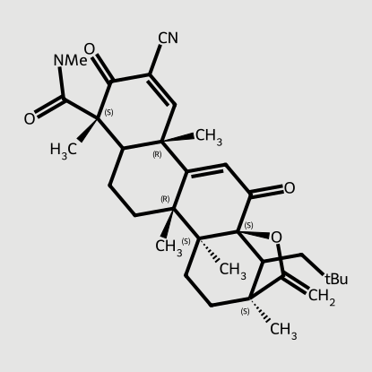 C=C1O[C@]23C(=O)C=C4[C@@]5(C)C=C(C#N)C(=O)[C@@](C)(C(=O)NC)C5CC[C@@]4(C)[C@]2(C)CC[C@@]1(C)C3CC(C)(C)C